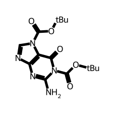 CC(C)(C)OC(=O)n1c(N)nc2ncn(C(=O)OC(C)(C)C)c2c1=O